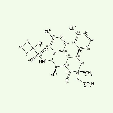 CC[C@@H](CNS(=O)(=O)C1(CC)CCC1)N1C(=O)[C@@](C)(CC(=O)O)C[C@H](c2cccc(Cl)c2)[C@H]1c1ccc(Cl)cc1